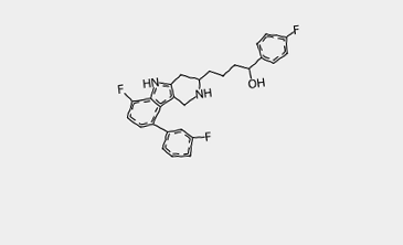 OC(CCCC1Cc2[nH]c3c(F)ccc(-c4cccc(F)c4)c3c2CN1)c1ccc(F)cc1